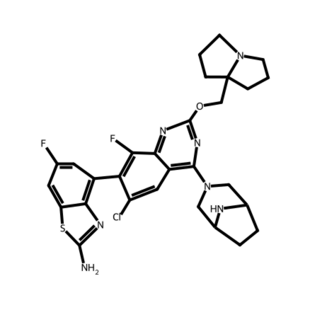 Nc1nc2c(-c3c(Cl)cc4c(N5CC6CCC(C5)N6)nc(OCC56CCCN5CCC6)nc4c3F)cc(F)cc2s1